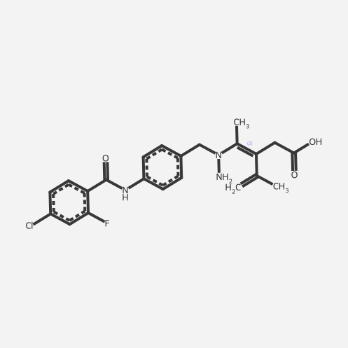 C=C(C)/C(CC(=O)O)=C(/C)N(N)Cc1ccc(NC(=O)c2ccc(Cl)cc2F)cc1